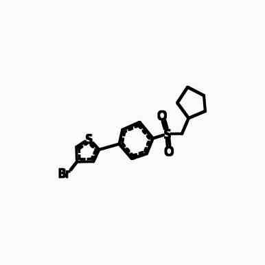 O=S(=O)(CC1CCCC1)c1ccc(-c2cc(Br)cs2)cc1